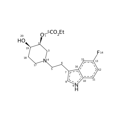 CCOC(=O)O[C@H]1CN(CCc2c[nH]c3ccc(F)cc23)CC[C@H]1O